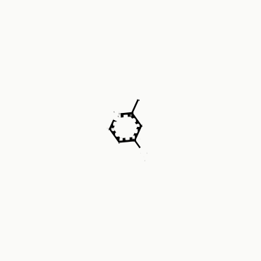 [CH2]c1cc(O)ccn1